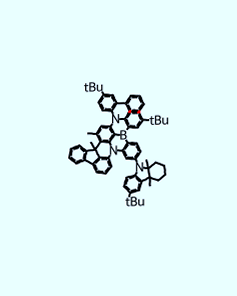 Cc1cc2c3c4c1C1(C)c5ccccc5-c5cccc(c51)N4c1cc(N4c5ccc(C(C)(C)C)cc5C5(C)CCCCC45C)ccc1B3c1cc(C(C)(C)C)ccc1N2c1ccc(C(C)(C)C)cc1-c1ccccc1